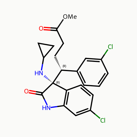 COC(=O)CC[C@H](c1cccc(Cl)c1)[C@]1(NC2CC2)C(=O)Nc2cc(Cl)ccc21